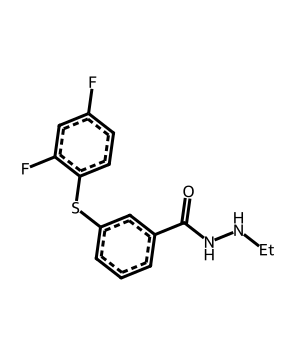 CCNNC(=O)c1cccc(Sc2ccc(F)cc2F)c1